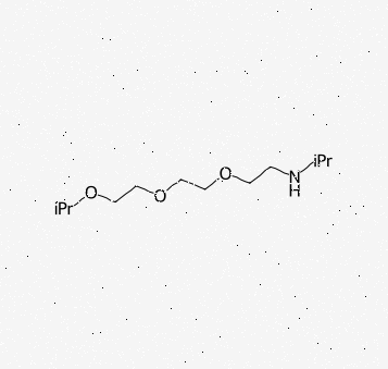 CC(C)NCCOCCOCCOC(C)C